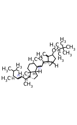 C=C1C(O[Si](C)(C)C(C)(C)C)C[C@@H]2C[C@]12[C@@H](/C=C1\CCCC2(C)[C@@H]([C@H](C)/C=C/[C@H](C)C(C)C)CC[C@@H]12)OC